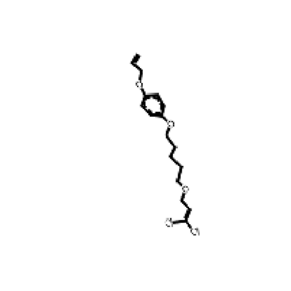 C=CCOc1ccc(OCCCCCOCC=C(Cl)Cl)cc1